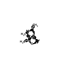 Cc1cnc2nc1-c1cccc(c1)OC(N1c3ccc(N4CCN(C)CC4)c(c3)OCCOCCOc3cc(cc(F)c3F)-c3ccnc1n3)COCCOc1cc(cc(N3CCN(C)CC3)c1)N2